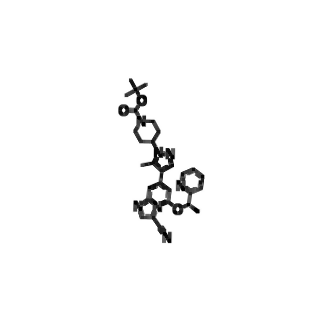 Cc1c(-c2cc(O[C@H](C)c3ccccn3)n3c(C#N)cnc3c2)cnn1C1CCN(C(=O)OC(C)(C)C)CC1